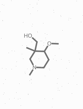 COC1CCN(C)CC1(C)CO